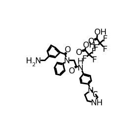 NCc1cccc(C(=O)N(CC(=O)Nc2ccc(N3CCNCC3)cc2)c2ccccc2)c1.O=C(O)C(F)(F)F.O=C(O)C(F)(F)F